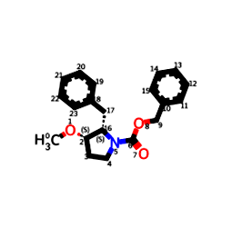 CO[C@H]1CCN(C(=O)OCc2ccccc2)[C@H]1Cc1ccccc1